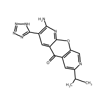 CC(C)c1cc2c(=O)c3cc(-c4nnn[nH]4)c(N)nc3oc2cn1